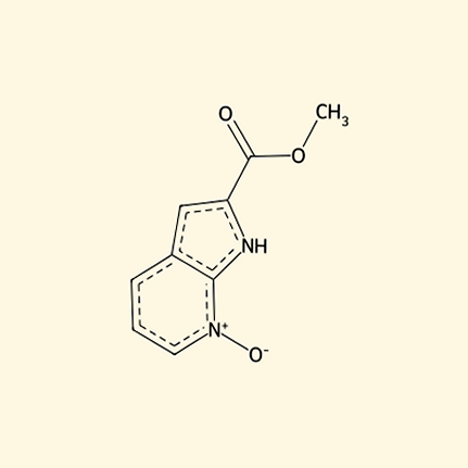 COC(=O)c1cc2ccc[n+]([O-])c2[nH]1